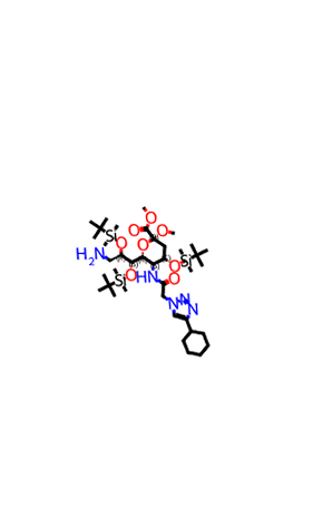 COC(=O)[C@@]1(OC)C[C@H](O[Si](C)(C)C(C)(C)C)[C@@H](NC(=O)Cn2cc(C3CCCCC3)nn2)[C@H]([C@H](O[Si](C)(C)C(C)(C)C)[C@@H](CN)O[Si](C)(C)C(C)(C)C)O1